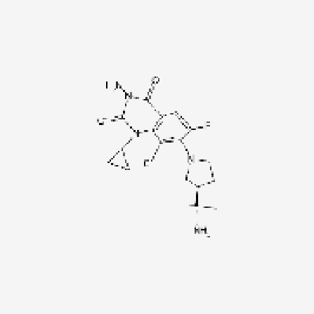 CC(C)(N)[C@@H]1CCN(c2c(F)cc3c(=O)n(N)c(=O)n(C4CC4)c3c2Cl)C1